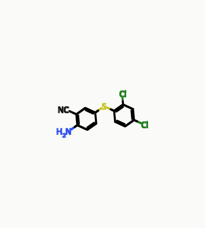 N#Cc1cc(Sc2ccc(Cl)cc2Cl)ccc1N